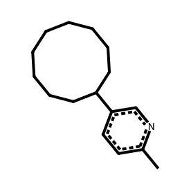 Cc1ccc(C2CCCCCCCCC2)cn1